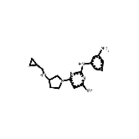 CCCc1cc(N2CCC(NCC3CC3)C2)nc(Nc2cccc([N+](=O)[O-])c2)n1